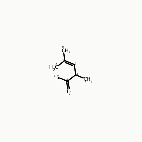 CC(C)=CC(C)C(=O)[S]